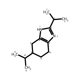 CC(C)c1nc2c([nH]1)CC(C(C)C)CC2